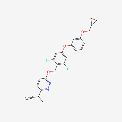 CC(=O)NC(C)c1ccc(OCc2c(F)cc(Oc3cccc(OCC4CC4)c3)cc2F)nn1